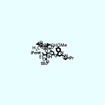 CCC[C@@H](C)C[C@@H](CC)[C@H](NC(=O)OC(C)(C)C)C(=O)N1C[C@H](Oc2cc(-n3ccc(C(C)C)n3)nc3cc(OC)ccc23)C[C@H]1C(=O)N[C@]1(C(=O)NS(=O)(=O)C2(C)CC2)C[C@H]1C